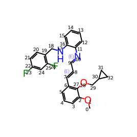 COc1cccc(/C=C/C=N/c2ccccc2NCc2ccc(F)cc2F)c1OCC1CC1